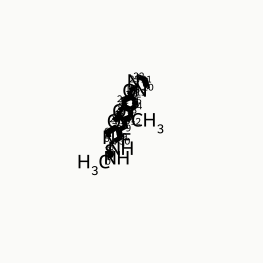 CNSNc1nccc(Cc2c(C)c3ccc(Oc4ncccn4)cc3oc2=O)c1F